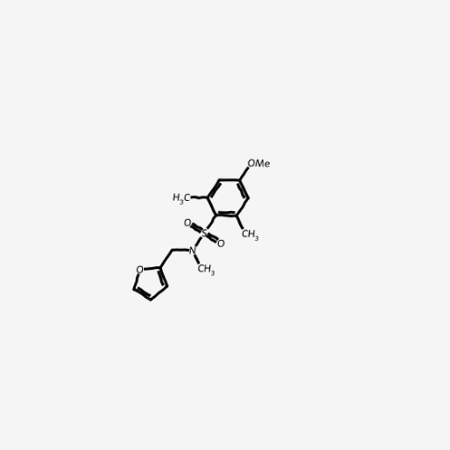 COc1cc(C)c(S(=O)(=O)N(C)Cc2ccco2)c(C)c1